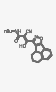 CCCCNC(=O)/C(C#N)=C(\O)c1noc2c1C1CCCc3cccc-2c31